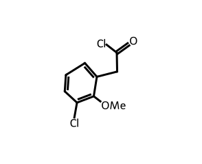 COc1c(Cl)cccc1CC(=O)Cl